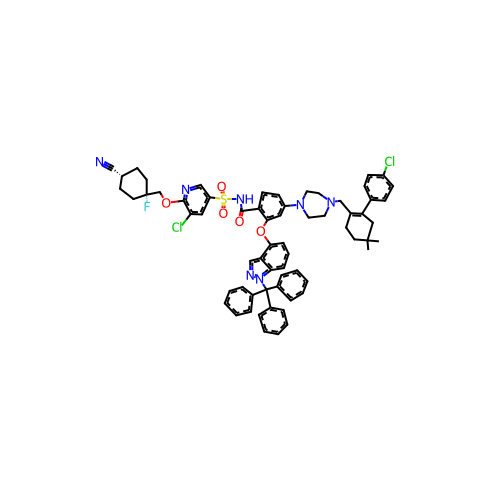 CC1(C)CCC(CN2CCN(c3ccc(C(=O)NS(=O)(=O)c4cnc(OC[C@]5(F)CC[C@@H](C#N)CC5)c(Cl)c4)c(Oc4cccc5c4cnn5C(c4ccccc4)(c4ccccc4)c4ccccc4)c3)CC2)=C(c2ccc(Cl)cc2)C1